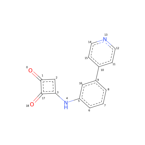 O=c1cc(Nc2cccc(-c3ccncc3)c2)c1=O